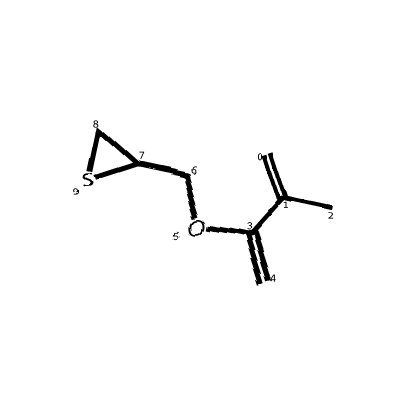 C=C(C)C(=C)OCC1CS1